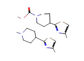 CCOC(=O)c1csc(C2CCN(C(=O)OC(C)(C)C)CC2)n1.O=C(O)c1csc(C2CCN(C(=O)O)CC2)n1